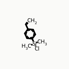 C=Cc1ccc([Si](C)(C)Cl)cc1